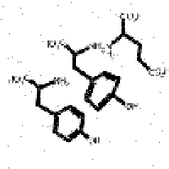 NC(CCC(=O)O)C(=O)O.NC(Cc1ccc(O)cc1)C(=O)O.NC(Cc1ccc(O)cc1)C(=O)O